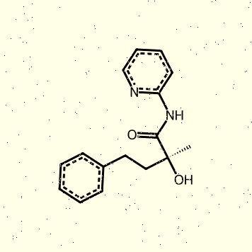 C[C@](O)(CCc1ccccc1)C(=O)Nc1ccccn1